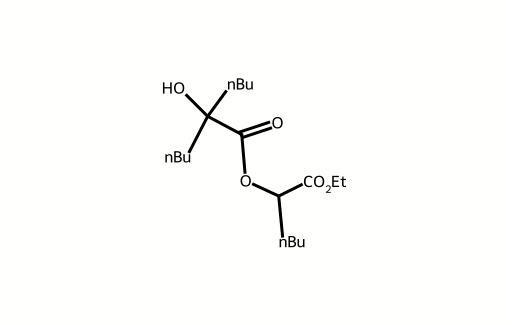 CCCCC(OC(=O)C(O)(CCCC)CCCC)C(=O)OCC